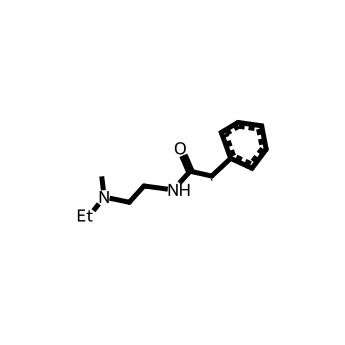 CCN(C)CCNC(=O)[CH]c1ccccc1